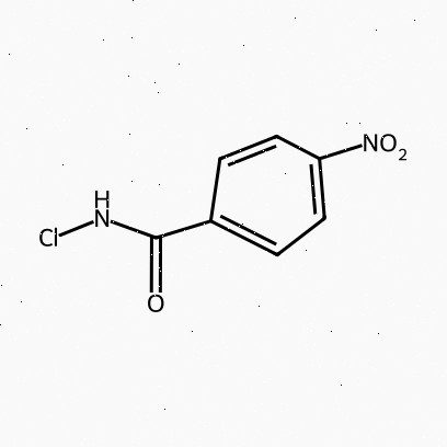 O=C(NCl)c1ccc([N+](=O)[O-])cc1